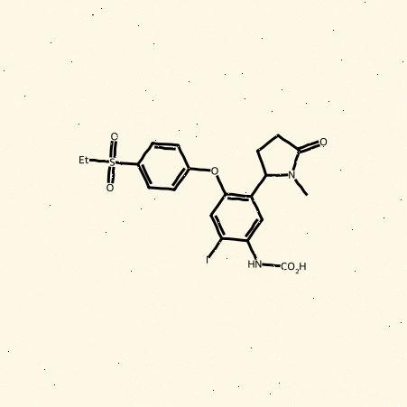 CCS(=O)(=O)c1ccc(Oc2cc(I)c(NC(=O)O)cc2C2CCC(=O)N2C)cc1